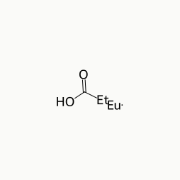 CCC(=O)O.[Eu]